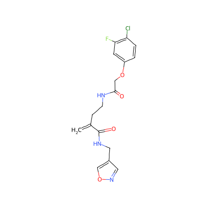 C=C(CCNC(=O)COc1ccc(Cl)c(F)c1)C(=O)NCc1cnoc1